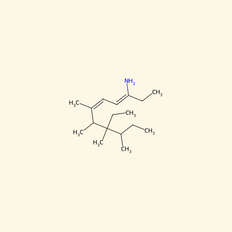 CC/C(N)=C/C=C(/C)C(C)C(C)(CC)C(C)CC